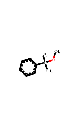 [CH2]O[Si](C)(C)c1ccccc1